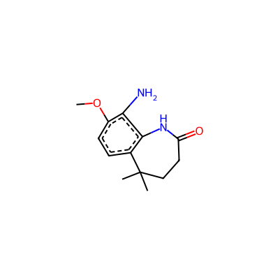 COc1ccc2c(c1N)NC(=O)CCC2(C)C